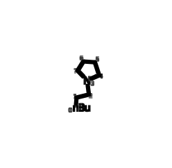 CCCCCCN1[CH]CCC1